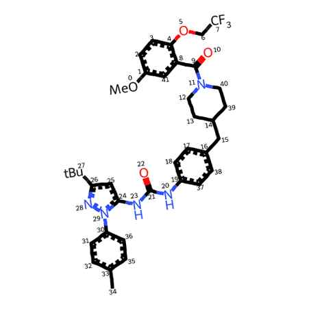 COc1ccc(OCC(F)(F)F)c(C(=O)N2CCC(Cc3ccc(NC(=O)Nc4cc(C(C)(C)C)nn4-c4ccc(C)cc4)cc3)CC2)c1